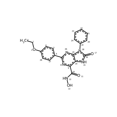 CCOc1ccc(-c2nc(C(=O)NO)c3[nH]c(=O)n(-c4ccccc4)c3n2)cc1